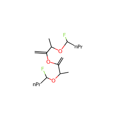 C=C(OC(=C)C(C)OC(F)CCC)C(C)OC(F)CCC